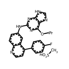 CC(C)Oc1nc(Nc2ccc3nccc(-c4ccc(F)cc4)c3c2)nc2[nH]cnc12.CS(=O)(=O)O